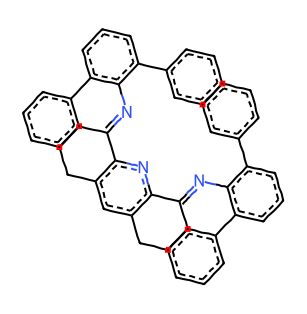 c1ccc(-c2cccc(-c3ccccc3)c2N=C2CCCc3cc4c(nc32)C(=Nc2c(-c3ccccc3)cccc2-c2ccccc2)CCC4)cc1